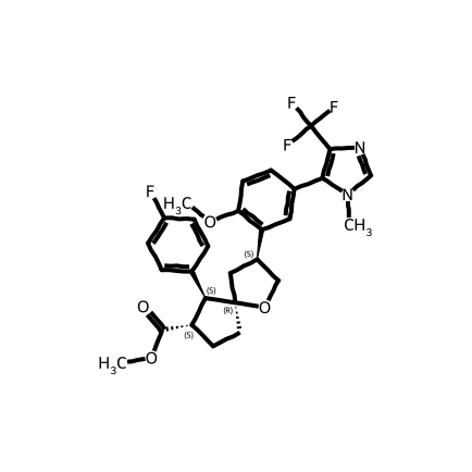 COC(=O)[C@H]1CC[C@@]2(C[C@@H](c3cc(-c4c(C(F)(F)F)ncn4C)ccc3OC)CO2)[C@@H]1c1ccc(F)cc1